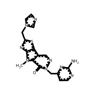 Cn1c2nc(Cn3ccnc3)sc2c2cnn(Cc3ccnc(N)n3)c(=O)c21